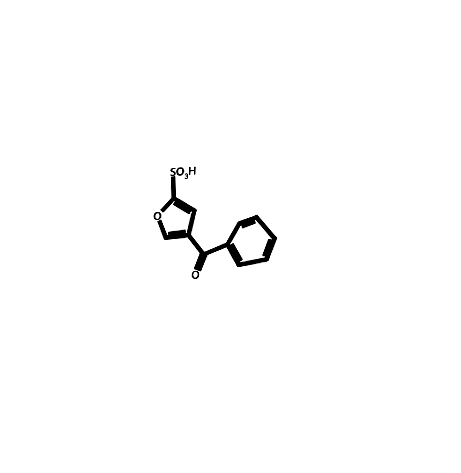 O=C(c1ccccc1)c1coc(S(=O)(=O)O)c1